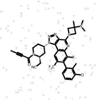 CC#CC(=O)N1CC[C@H](n2nnc3c(N4CC(C)(N(C)C)C4)nc4c(F)c(-c5cccc(Cl)c5C)c(C(F)(F)F)cc4c32)C[C@H]1CC#N